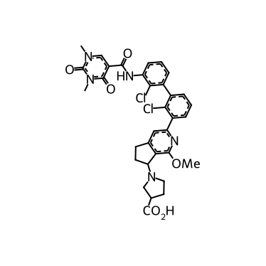 COc1nc(-c2cccc(-c3cccc(NC(=O)c4cn(C)c(=O)n(C)c4=O)c3Cl)c2Cl)cc2c1C(N1CCC(C(=O)O)C1)CC2